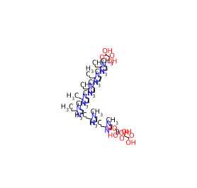 CCc1nccn1C.CCc1nccn1C.CCc1nccn1C.CCc1nccn1C.CCc1nccn1C.CCc1nccn1C.CCc1nccn1C.O=C(O)C(=O)O.O=C(O)C(=O)O.OB(O)O